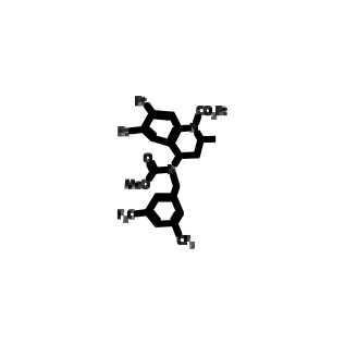 CCOC(=O)N1c2cc(CC)c(CC)cc2C(N(Cc2cc(C(F)(F)F)cc(C(F)(F)F)c2)C(=O)OC)CC1C